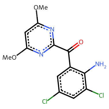 COc1cc(OC)nc(C(=O)c2cc(Cl)cc(Cl)c2N)n1